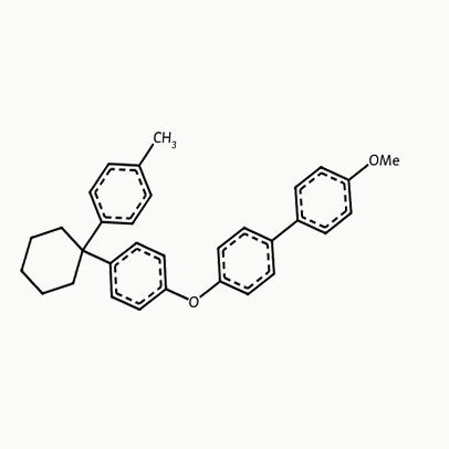 COc1ccc(-c2ccc(Oc3ccc(C4(c5ccc(C)cc5)CCCCC4)cc3)cc2)cc1